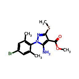 COC(=O)c1c(SC)nn(-c2c(C)cc(Br)cc2C)c1N